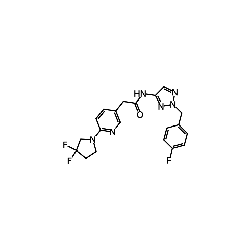 O=C(Cc1ccc(N2CCC(F)(F)C2)nc1)Nc1cnn(Cc2ccc(F)cc2)n1